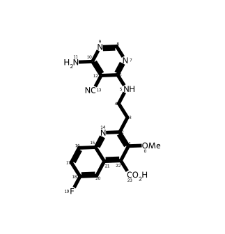 COc1c(CCNc2ncnc(N)c2C#N)nc2ccc(F)cc2c1C(=O)O